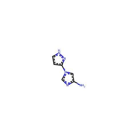 Nc1cn(-c2cc[nH]n2)cn1